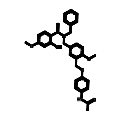 COc1ccc(C(=O)N(Cc2ccccc2)Cc2ccc(OC)c(COc3ccc(NC(C)=O)cc3)c2)c(O)c1